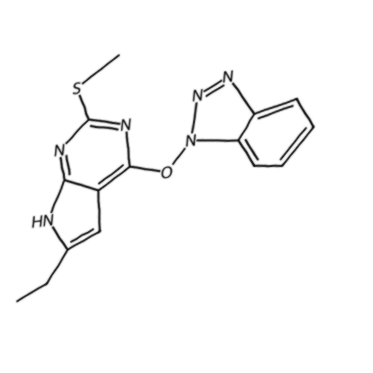 CCc1cc2c(On3nnc4ccccc43)nc(SC)nc2[nH]1